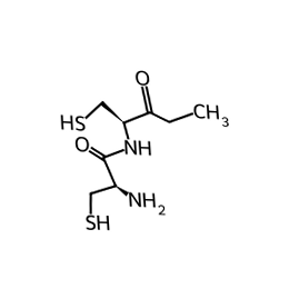 CCC(=O)[C@H](CS)NC(=O)[C@@H](N)CS